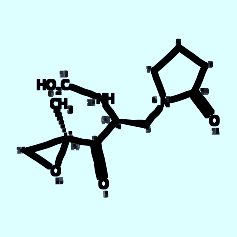 C[C@@]1(C(=O)[C@H](CN2CCCC2=O)NC(=O)O)CO1